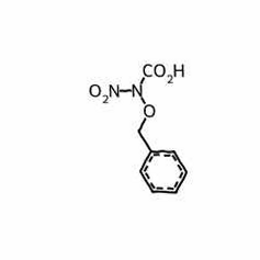 O=C(O)N(OCc1ccccc1)[N+](=O)[O-]